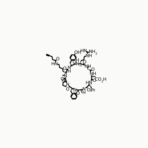 C#CCCC(=O)NCCCC[C@H]1C(=O)N[C@@H](Cc2ccc(O)cc2)C(=O)N[C@@H](CCCNC(=N)N)C(=O)NCC(=O)N[C@@H](CC(=O)O)C(=O)N[C@@H](CC(C)C)C(=O)N[C@@H](C)C(=O)N[C@@H](Cc2ccccc2)C(=O)N2CCC[C@@H]2C(=O)N1C